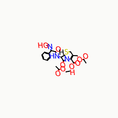 CC(=O)OCC1=C(C(=O)O)N2C(=O)[C@@H](NC(=O)/C(=N/O)c3ccccc3)[C@H]2SC1.CCOC(C)=O